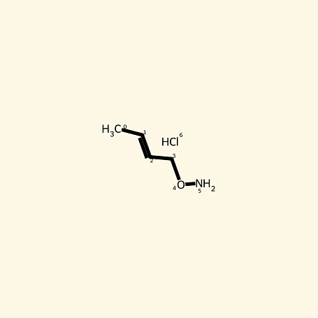 CC=CCON.Cl